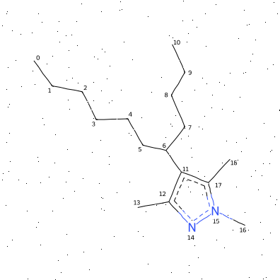 CCCCCCC(CCCC)c1c(C)nn(C)c1C